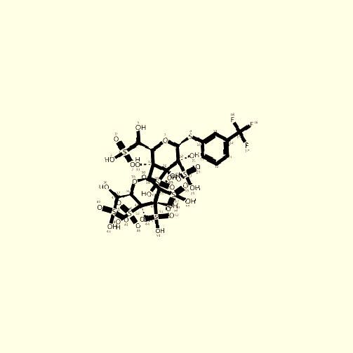 O=S(=O)(O)C(O)[C@H]1O[C@@H](Sc2cccc(C(F)(F)F)c2)[C@@](O)(S(=O)(=O)O)[C@](O)(S(=O)(=O)O)[C@@]1(O)[C@@H]1O[C@H](C(O)S(=O)(=O)O)[C@](O)(S(=O)(=O)O)[C@@](O)(S(=O)(=O)O)[C@]1(O)S(=O)(=O)O